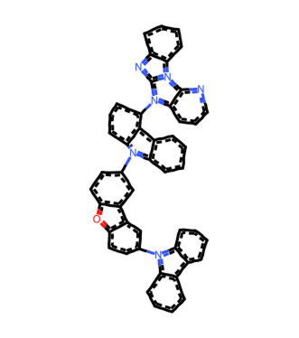 c1ccc2c(c1)nc1n(-c3cccc4c3c3ccccc3n4-c3ccc4oc5ccc(-n6c7ccccc7c7ccccc76)cc5c4c3)c3cccnc3n21